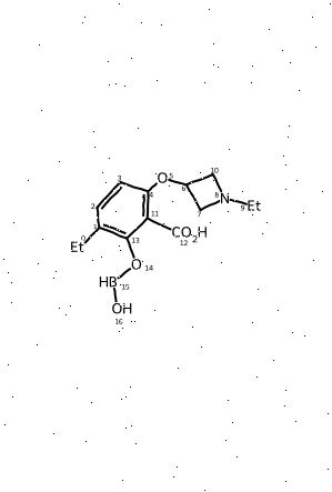 CCc1ccc(OC2CN(CC)C2)c(C(=O)O)c1OBO